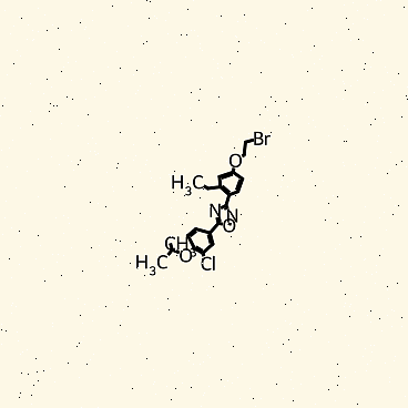 CCc1cc(OCCBr)ccc1-c1noc(-c2ccc(OC(C)C)c(Cl)c2)n1